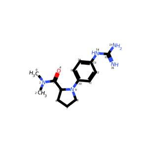 CN(C)C(=O)C1CCCN1c1ccc(NC(=N)N)cc1